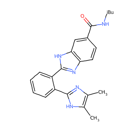 CCC(C)NC(=O)c1ccc2nc(-c3ccccc3-c3nc(C)c(C)[nH]3)[nH]c2c1